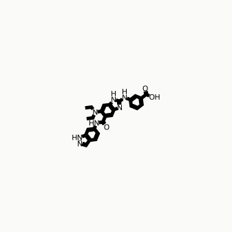 CCN(CC)c1cc2[nH]c(Nc3cccc(C(=O)O)c3)nc2cc1C(=O)Nc1ccc2cn[nH]c2c1